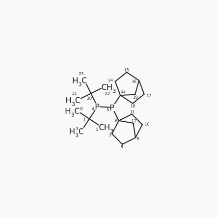 CC(C)(C)P(P(C12CCC(CC1)C2)C12CCC(CC1)C2)C(C)(C)C